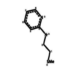 CSCC[N]c1ccccn1